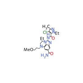 CC[C@H]1CN(CCCOC)c2cc(C(N)=O)cc3nc(NC(=O)c4c(Cl)c(C)nn4CC)n1c23